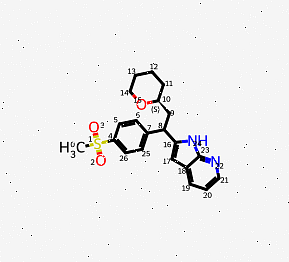 CS(=O)(=O)c1ccc(C(C[C@@H]2CCCCO2)c2cc3cccnc3[nH]2)cc1